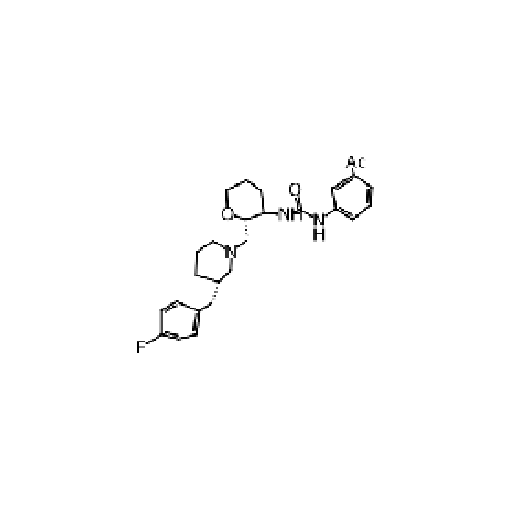 CC(=O)c1cccc(NC(=O)N[C@@H]2CCCO[C@H]2CN2CCC[C@@H](Cc3ccc(F)cc3)C2)c1